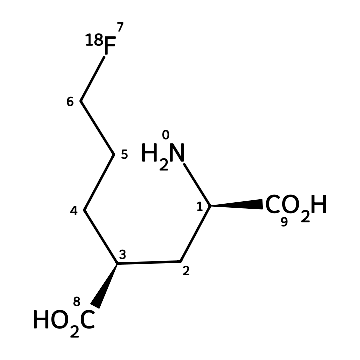 N[C@H](C[C@H](CCC[18F])C(=O)O)C(=O)O